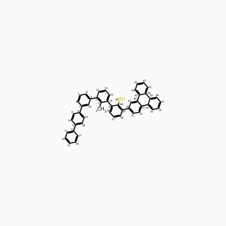 Cc1c(-c2cccc(-c3ccc(-c4ccccc4)cc3)c2)cccc1-c1cccc(-c2ccc3c4ccccc4c4ccccc4c3c2)c1S